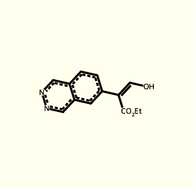 CCOC(=O)/C(=C\O)c1ccc2cnncc2c1